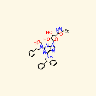 CCc1nnc([C@H]2O[C@@H](n3cnc4c(NCC(c5ccccc5)c5ccccc5)nc(N(CO)CCc5ccccc5)nc43)[C@H](O)[C@@H]2O)o1